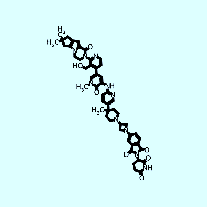 Cn1cc(-c2ccnc(N3CCn4c(cc5c4CC(C)(C)C5)C3=O)c2CO)cc(Nc2ccc(C3(C)CCN(C4CN(c5ccc6c(c5)C(=O)N(C5CCC(=O)NC5=O)C6=O)C4)CC3)cn2)c1=O